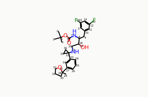 CC(C)(C)OC(=O)NC(Cc1cc(F)cc(F)c1)C(O)CNC1(c2cccc(C3(C)CCCO3)c2)CC1